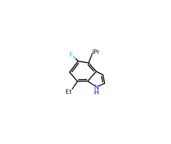 CCc1cc(F)c(C(C)C)c2cc[nH]c12